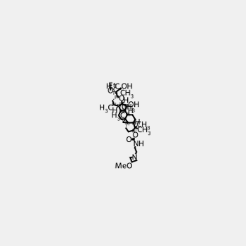 CCO[C@@H]([C@H]1C[C@@H](C)[C@H]2[C@H](O1)[C@H](O)[C@@]1(C)[C@@H]3CC[C@H]4C(C)(C)[C@@H](OC(=O)NCCN5CC(OC)C5)CC[C@@]45C[C@@]35CC[C@]21C)C(C)(C)O